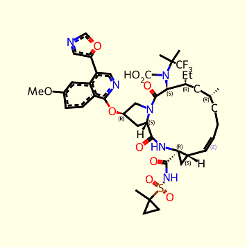 CC[C@@H]1C[C@H](C)CC/C=C\[C@@H]2C[C@@]2(C(=O)NS(=O)(=O)C2(C)CC2)NC(=O)[C@@H]2C[C@@H](Oc3ncc(-c4cnco4)c4cc(OC)ccc34)CN2C(=O)[C@H]1N(C(=O)O)C(C)(C)C(F)(F)F